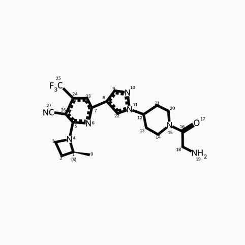 C[C@H]1CCN1c1nc(-c2cnn(C3CCN(C(=O)CN)CC3)c2)cc(C(F)(F)F)c1C#N